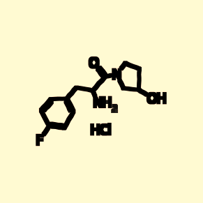 Cl.NC(Cc1ccc(F)cc1)C(=O)N1CCC(O)C1